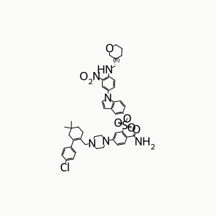 CC1(C)CCC(CN2CCN(c3ccc(C(N)=O)c(S(=O)(=O)Oc4ccc5c(ccn5-c5ccc(NC[C@H]6CCCOC6)c([N+](=O)[O-])c5)c4)c3)CC2)=C(c2ccc(Cl)cc2)C1